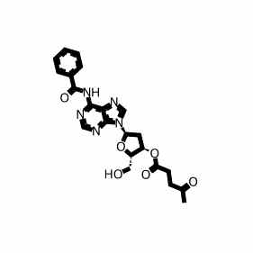 CC(=O)CCC(=O)O[C@H]1C[C@H](n2cnc3c(NC(=O)c4ccccc4)ncnc32)O[C@H]1CO